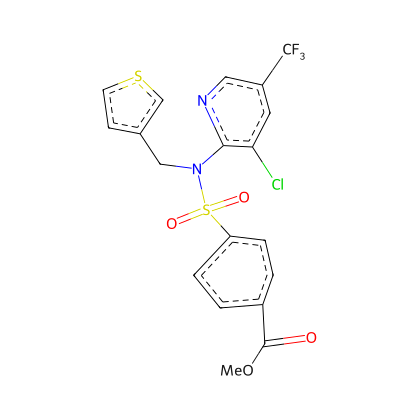 COC(=O)c1ccc(S(=O)(=O)N(Cc2ccsc2)c2ncc(C(F)(F)F)cc2Cl)cc1